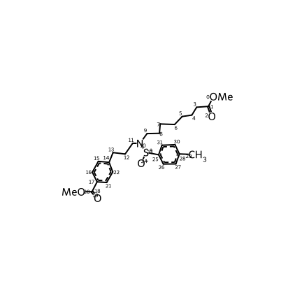 COC(=O)CCCCCCCN(CCCc1ccc(C(=O)OC)cc1)[S+]([O-])c1ccc(C)cc1